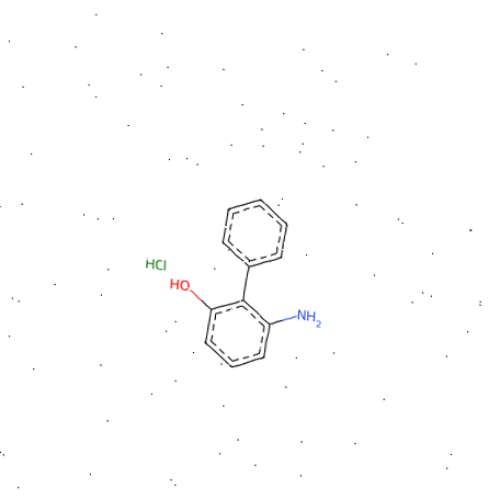 Cl.Nc1cccc(O)c1-c1ccccc1